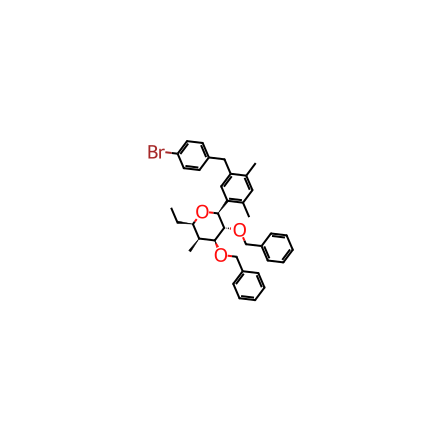 CC[C@H]1O[C@@H](c2cc(Cc3ccc(Br)cc3)c(C)cc2C)[C@H](OCc2ccccc2)[C@@H](OCc2ccccc2)[C@H]1C